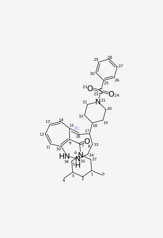 CC1CC(C)CN(C(=O)C2=C3C=CC=C/C2=C\C(C2CCN(S(=O)(=O)c4ccccc4)CC2)CCNN3)C1